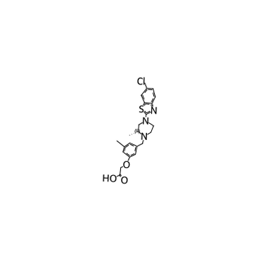 Cc1cc(CN2CCN(c3nc4ccc(Cl)cc4s3)C[C@H]2C)cc(OCC(=O)O)c1